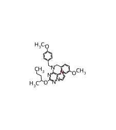 CCCC(C)Oc1nc(N(Cc2ccc(OC)cc2)Cc2ccc(OC)cc2)c2nccn2n1